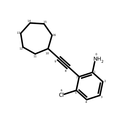 Nc1cccc(Cl)c1C#CC1CCCCCC1